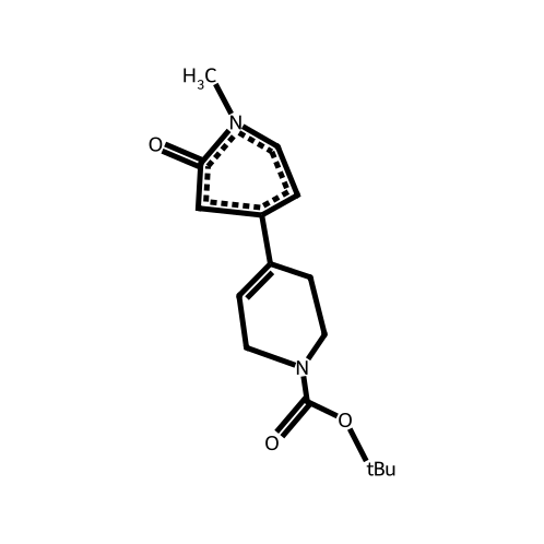 Cn1ccc(C2=CCN(C(=O)OC(C)(C)C)CC2)cc1=O